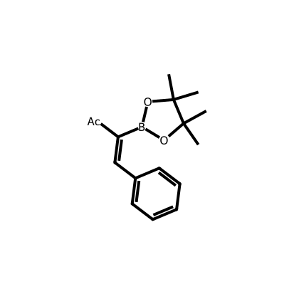 CC(=O)C(=Cc1ccccc1)B1OC(C)(C)C(C)(C)O1